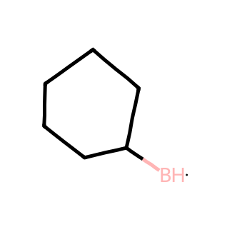 [BH]C1CCCCC1